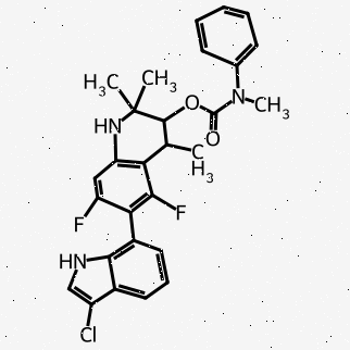 CC1c2c(cc(F)c(-c3cccc4c(Cl)c[nH]c34)c2F)NC(C)(C)C1OC(=O)N(C)c1ccccc1